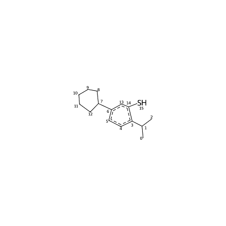 CC(C)c1ccc(C2CCCCC2)cc1S